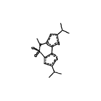 CC(C)c1cc2c(s1)-c1sc(C(C)C)cc1S(=O)(=O)N2C